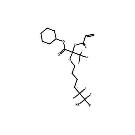 C=CC(=O)OC(OCCCCC(F)(F)C(F)(F)S)(C(=O)OC1CCCCC1)C(F)(F)F